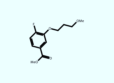 COCCCOc1cc(C(=O)OC)ccc1F